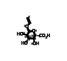 C=COC1O[C@H](C(=O)O)[C@@H](O)[C@H](O)[C@H]1O